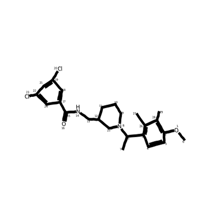 COc1ccc(C(C)N2CCCC(CNC(=O)c3cc(Cl)cc(Cl)c3)C2)c(C)c1C